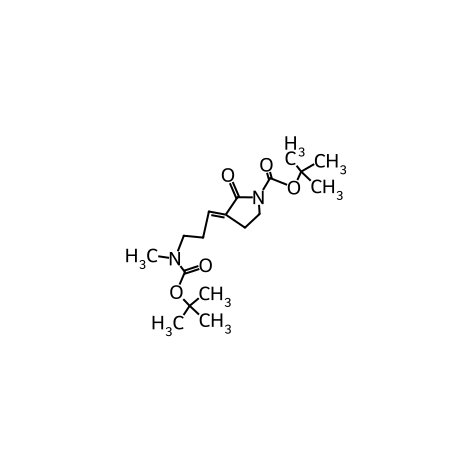 CN(CC/C=C1\CCN(C(=O)OC(C)(C)C)C1=O)C(=O)OC(C)(C)C